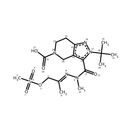 C/C(COS(C)(=O)=O)=N\N(C)C(=O)c1c2c(nn1C(C)(C)C)CCN(C(=O)O)C2